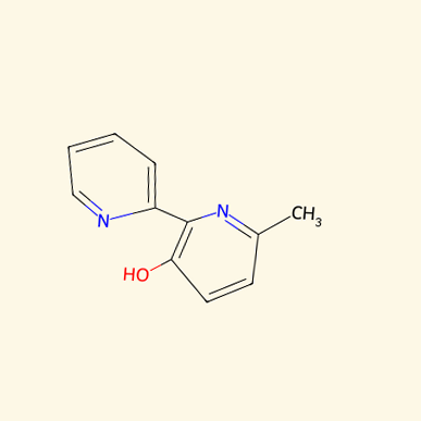 Cc1ccc(O)c(-c2ccccn2)n1